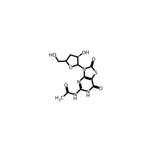 CC(=O)Nc1nc2c(sc(=O)n2C2OC(CO)C[C@H]2O)c(=O)[nH]1